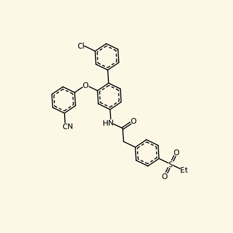 CCS(=O)(=O)c1ccc(CC(=O)Nc2ccc(-c3cccc(Cl)c3)c(Oc3cccc(C#N)c3)c2)cc1